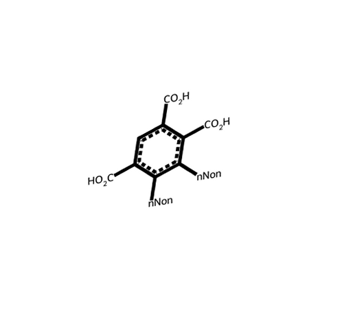 CCCCCCCCCc1c(C(=O)O)cc(C(=O)O)c(C(=O)O)c1CCCCCCCCC